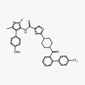 CSc1ccc(-c2c(C)nn(C)c2NC(=O)c2csc(C3CCN(C(=O)c4ccccc4-c4ccc(C(F)(F)F)cc4)CC3)n2)cc1